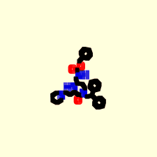 O=C(NCC1CCN(CC(c2ccccc2)c2ccccc2)C(=O)C(CCN2CCCCC2)N1)OCc1ccccc1